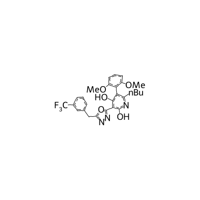 CCCCc1nc(O)c(-c2nnc(Cc3cccc(C(F)(F)F)c3)o2)c(O)c1-c1c(OC)cccc1OC